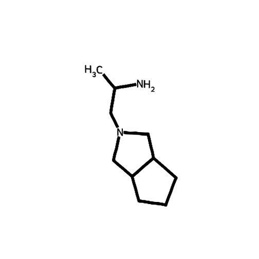 CC(N)CN1CC2CCCC2C1